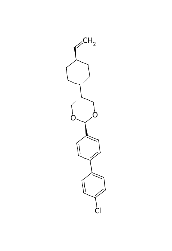 C=C[C@H]1CC[C@H]([C@H]2CO[C@H](c3ccc(-c4ccc(Cl)cc4)cc3)OC2)CC1